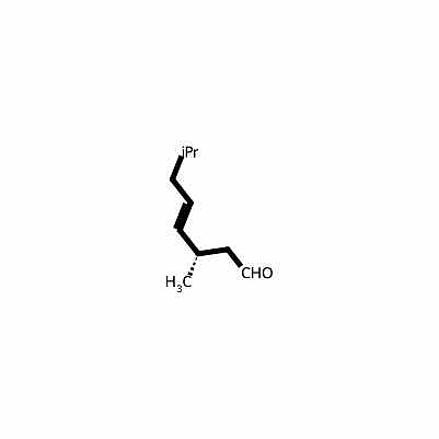 CC(C)C/C=C/[C@@H](C)CC=O